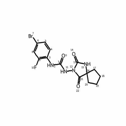 O=C(Nc1ccc(Br)cc1F)NN1C(=O)NC2(CCCC2)C1=O